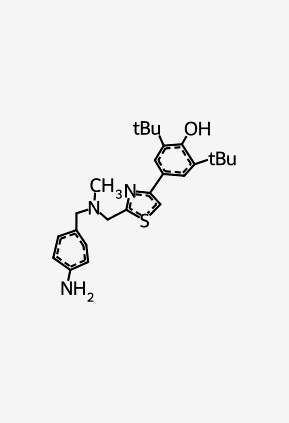 CN(Cc1ccc(N)cc1)Cc1nc(-c2cc(C(C)(C)C)c(O)c(C(C)(C)C)c2)cs1